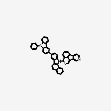 c1ccc(-n2c3ccccc3c3cc(-c4ccc5c(c4)c4ccc6ccccc6c4n5-c4ncc5c6c(cccc46)-c4ccncc4-5)ccc32)cc1